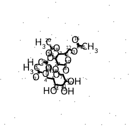 CC(=O)OCC1O[C@H](O[C@H]2OC(COC(C)=O)[C@@H](OC(C)=O)[C@@H](OC(C)=O)C2O)C(O)[C@@H](O)[C@@H]1O